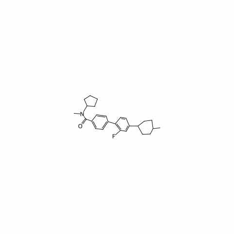 CC1CCC(c2ccc(-c3ccc(C(=O)N(C)C4CCCC4)cc3)c(F)c2)CC1